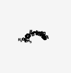 CN(C)C1CCC(NC(=O)Cc2nc(CS(=O)(=O)c3cccc(Cl)c3Cl)no2)CC1